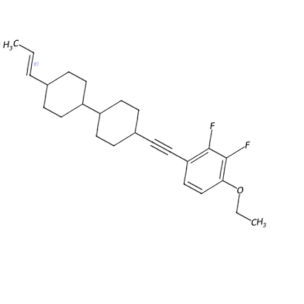 C/C=C/C1CCC(C2CCC(C#Cc3ccc(OCC)c(F)c3F)CC2)CC1